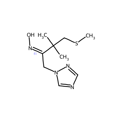 CSCC(C)(C)/C(Cn1cncn1)=N\O